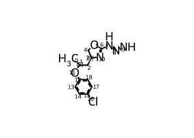 C[C@@H](C[C@H]1COC(NN=N)=N1)Oc1ccc(Cl)cc1